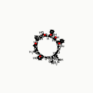 CCCC[C@H]1C(=O)N(C)[C@@H](C)C(=O)N[C@@H](CCCNC(=N)N)C(=O)NC(C(=O)NCC(N)=O)CSCC(=O)N[C@@H](Cc2ccc(O)cc2)C(=O)N(C)[C@@H](C)C(=O)N[C@@H](CC(N)=O)C(=O)N2CCC[C@H]2C(=O)N[C@@H](Cc2cnc[nH]2)C(=O)N[C@H](CO)C(=O)N2C[C@H](O)C[C@H]2C(=O)N[C@@H](Cc2c[nH]c3ccccc23)C(=O)N[C@@H](CO)C(=O)N[C@@H](Cc2csc3ccccc23)C(=O)N1C